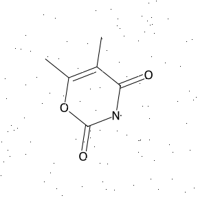 CC1=C(C)C(=O)[N]C(=O)O1